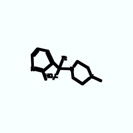 CCC(C(=O)O)(c1cccnc1C)N1CCN(C)CC1